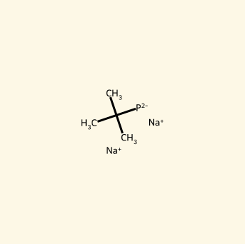 CC(C)(C)[P-2].[Na+].[Na+]